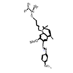 CCCOP(OCCCCN1c2cc(OC)c(/N=N/c3ccc([N+](=O)[O-])cc3)cc2C(C)=CC1(C)C)N(C(C)C)C(C)C